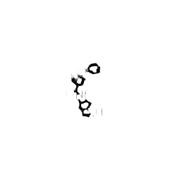 O=C(NCc1ccc2[nH]ccc2c1)c1ccc(Oc2ccccc2)nc1